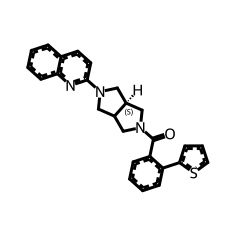 O=C(c1ccccc1-c1cccs1)N1CC2CN(c3ccc4ccccc4n3)C[C@H]2C1